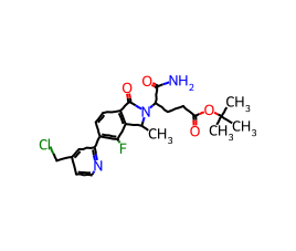 CC1c2c(ccc(-c3cc(CCl)ccn3)c2F)C(=O)N1C(CCC(=O)OC(C)(C)C)C(N)=O